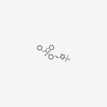 O=S(=O)(c1cccc(/C=C/c2noc(C(F)(F)F)n2)c1)N(Cc1ccccc1)Cc1ccccc1